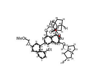 CCc1cccc2cc(OCOC)cc(-c3cc4nc(OC[C@]56CCCN5C[C@@H](F)C6)nc5c4c(n3)OC[C@H]3[C@@H]4CC[C@H](CN53)N4C(=O)OC(C)(C)C)c12